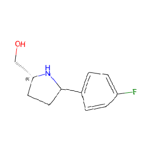 OC[C@H]1CCC(c2ccc(F)cc2)N1